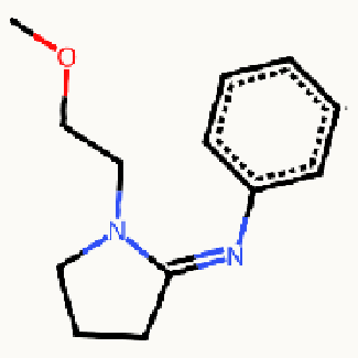 COCCN1CCCC1=Nc1c[c]ccc1